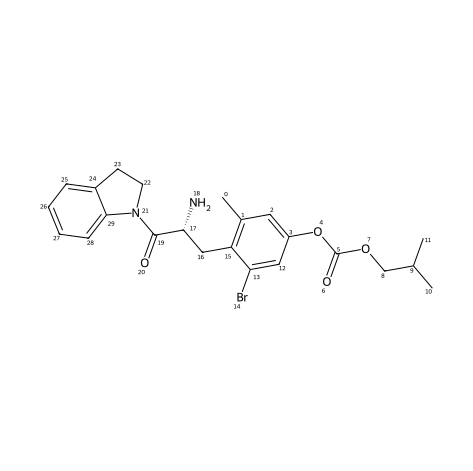 Cc1cc(OC(=O)OCC(C)C)cc(Br)c1C[C@@H](N)C(=O)N1CCc2ccccc21